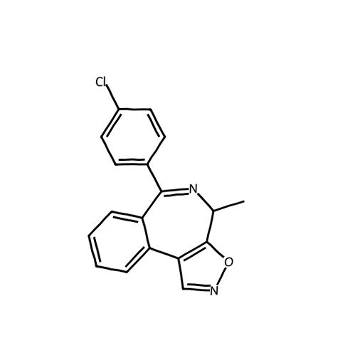 CC1N=C(c2ccc(Cl)cc2)c2ccccc2-c2cnoc21